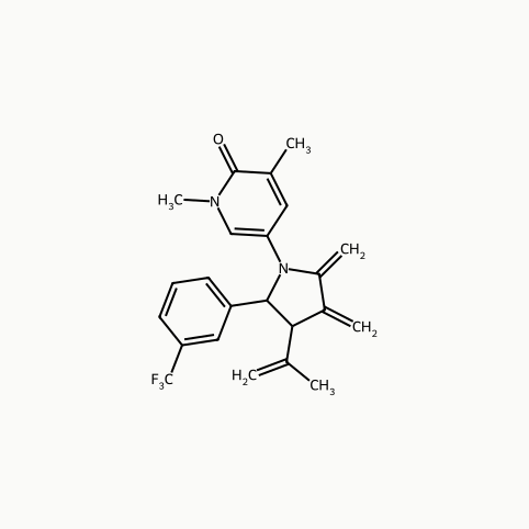 C=C(C)C1C(=C)C(=C)N(c2cc(C)c(=O)n(C)c2)C1c1cccc(C(F)(F)F)c1